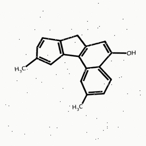 Cc1ccc2c(c1)-c1c(cc(O)c3ccc(C)cc13)C2